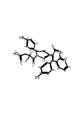 O=C(O)CC(F)(F)C(=O)N1N=C(c2c(-c3ccc(Br)cc3)c3cccnc3[nH]c2=O)CC1c1ccc(Cl)cc1